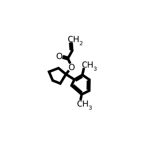 C=CC(=O)OC1(c2cc(C)ccc2C)CCCC1